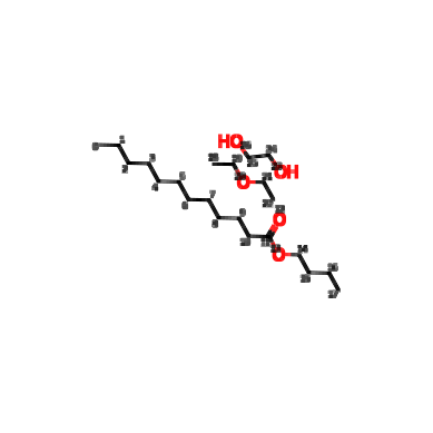 CCCCCCCCCCCC(=O)OCCCC.CCOCC.OCCO